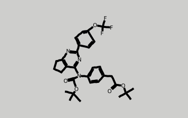 CC(C)(C)OC(=O)Cc1ccc(N(C(=O)OC(C)(C)C)c2nc(-c3ccc(OC(F)(F)F)cc3)nc3c2CCC3)cc1